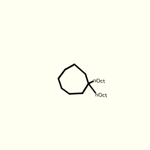 CCCCCCCCC1(CCCCCCCC)CCCCCCC1